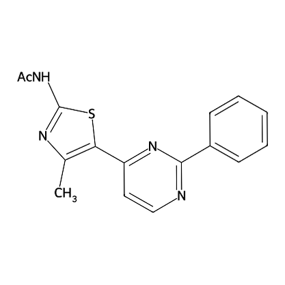 CC(=O)Nc1nc(C)c(-c2ccnc(-c3ccccc3)n2)s1